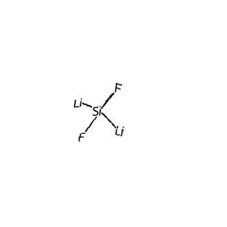 [Li][Si]([Li])(F)F